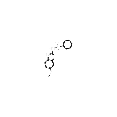 COc1ccc2nc(NS(=O)(=O)c3ccccc3)sc2c1